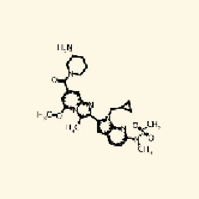 COc1cc(C(=O)N2CCC[C@@H](N)C2)cc2nc(-c3cc4ccc(N(C)S(C)(=O)=O)nc4n3CC3CC3)c(C)n12